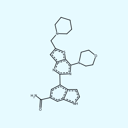 NC(=O)c1cc(-c2nc(N3CCOCC3)c3sc(CN4CCCCC4)cc3n2)c2cc[nH]c2c1